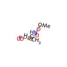 COCCOCCNC(=O)CCC(C)(C)SSCCCCOP=O